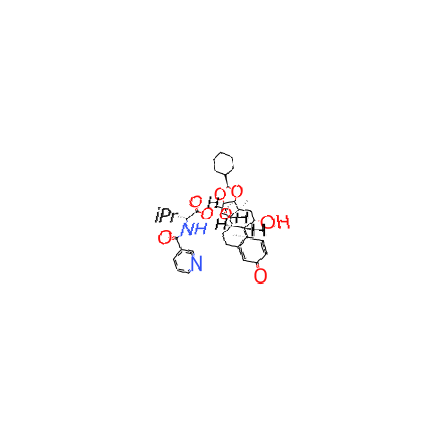 CC(C)[C@@H](NC(=O)c1cccnc1)C(=O)OCC(=O)[C@@]12O[C@H](C3CCCCC3)O[C@@H]1C[C@H]1[C@@H]3CCC4=CC(=O)C=C[C@]4(C)[C@H]3[C@@H](O)C[C@@]12C